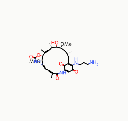 CO[C@H]1/C=C\C=C(/C)C(=O)NC2=CC(=O)C(NCCCN)=C(C[C@@H](C)C[C@H](OC)[C@H](O)[C@@H](C)/C=C(\C)[C@@H]1OC(N)=O)C2=O